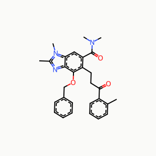 Cc1ccccc1C(=O)CCc1c(C(=O)N(C)C)cc2c(nc(C)n2C)c1OCc1ccccc1